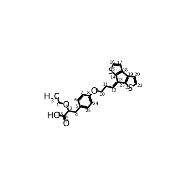 CCOC(Cc1ccc(OCCC=C2c3sccc3-c3ccsc32)cc1)C(=O)O